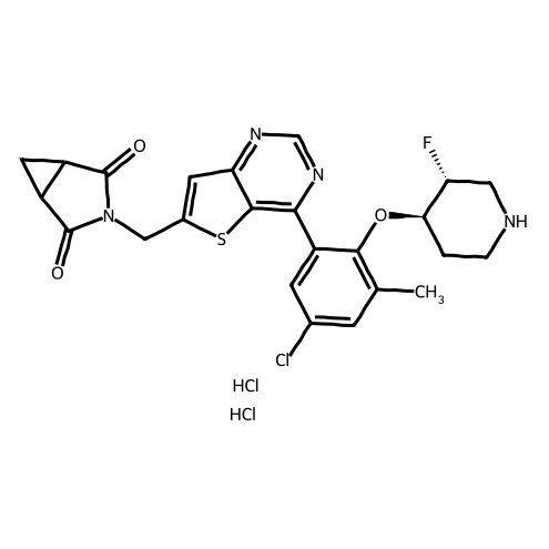 Cc1cc(Cl)cc(-c2ncnc3cc(CN4C(=O)C5CC5C4=O)sc23)c1O[C@@H]1CCNC[C@H]1F.Cl.Cl